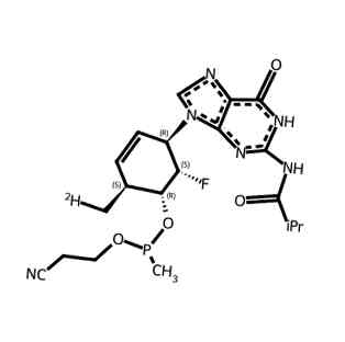 [2H]C[C@H]1C=C[C@@H](n2cnc3c(=O)[nH]c(NC(=O)C(C)C)nc32)[C@H](F)[C@@H]1OP(C)OCCC#N